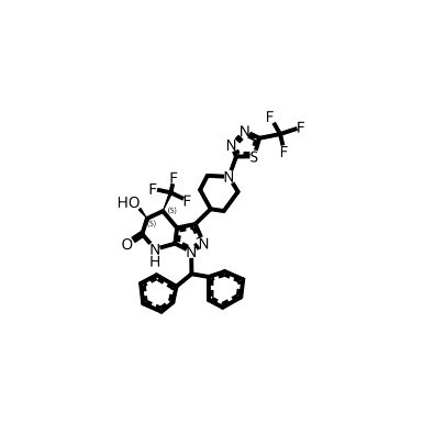 O=C1Nc2c(c(C3CCN(c4nnc(C(F)(F)F)s4)CC3)nn2C(c2ccccc2)c2ccccc2)[C@H](C(F)(F)F)[C@@H]1O